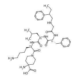 CCC(CNCC(=O)N[C@H](Cc1ccccc1)C(=O)N[C@H](CC(C)C)C(=O)N[C@H](CCCCN)C(=O)N1CCC(N)(C(=O)O)CC1)c1ccccc1